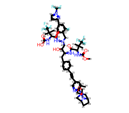 COC(=O)NC(C(=O)NC(Cc1ccc(C#Cc2cnc(N3CC4CCC(C3)N4C3COC3)c(C)c2)cc1)C(O)CN(Cc1c(F)cc(-c2ccn(C(F)F)n2)cc1F)NC(=O)C(NC(=O)O)C(C)(C)C(F)(F)F)C(C)(C)C(F)(F)F